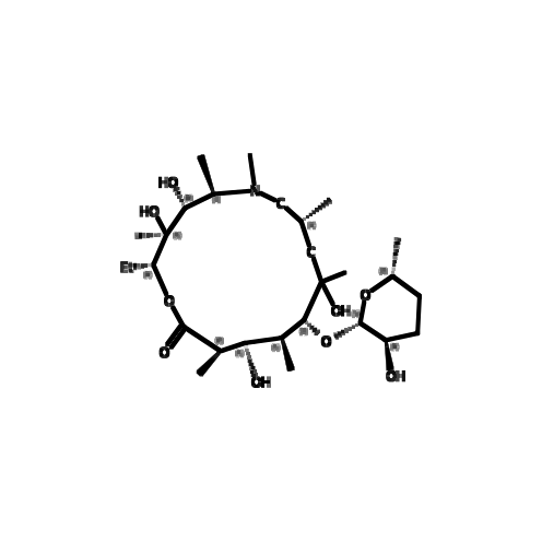 CC[C@H]1OC(=O)[C@H](C)[C@@H](O)[C@H](C)[C@@H](O[C@@H]2O[C@H](C)CC[C@H]2O)C(C)(O)C[C@@H](C)CN(C)[C@H](C)[C@@H](O)[C@]1(C)O